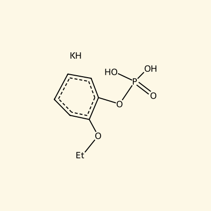 CCOc1ccccc1OP(=O)(O)O.[KH]